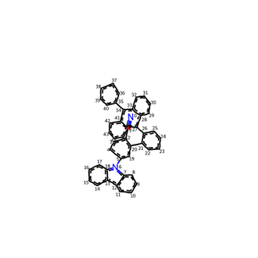 N#Cc1ccc(-n2c3ccccc3c3ccccc32)cc1-c1ccccc1-c1c2ccccc2c(-c2ccccc2)c2ccccc12